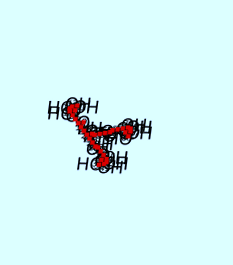 O=C(CCCCOC1OC(CO)C(O)C(O)C1O)CNCCCN(CCCNC(=O)CCCCOC1OC(CO)C(O)C(O)C1O)C(=O)CCCCNOC(=O)CCCCOC1OC(CO)C(O)C(O)C1O